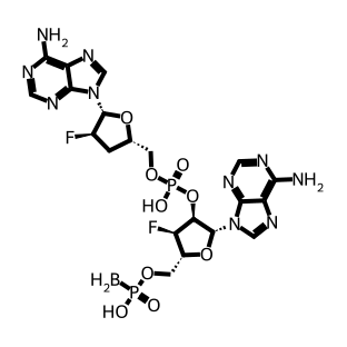 BP(=O)(O)OC[C@H]1O[C@@H](n2cnc3c(N)ncnc32)[C@H](OP(=O)(O)OC[C@@H]2C[C@@H](F)[C@H](n3cnc4c(N)ncnc43)O2)[C@@H]1F